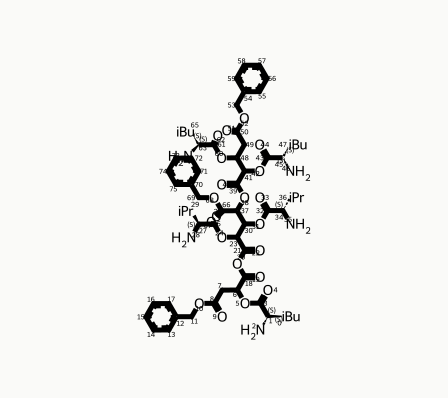 CC[C@H](C)[C@H](N)C(=O)OC(CC(=O)OCc1ccccc1)C(=O)OC(=O)C(OC(=O)[C@@H](N)C(C)C)C(OC(=O)[C@@H](N)C(C)C)C(OC(=O)C(OC(=O)[C@@H](N)[C@@H](C)CC)C(CC(=O)OCc1ccccc1)OC(=O)[C@@H](N)[C@@H](C)CC)C(=O)OCc1ccccc1